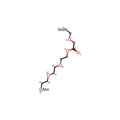 CNCOCC(=O)OCCOCCOCCOC